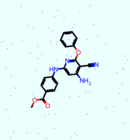 COC(=O)c1ccc(Nc2cc(N)c(C#N)c(Oc3ccccc3)n2)cc1